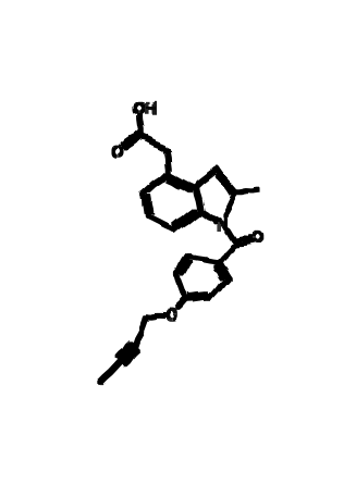 CC#CCOc1ccc(C(=O)n2c(C)cc3c(CC(=O)O)cccc32)cc1